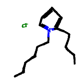 CCCCCC[n+]1ccccc1CCCC.[Cl-]